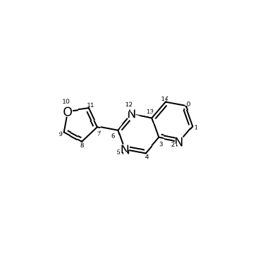 c1cnc2cnc(-c3ccoc3)nc2c1